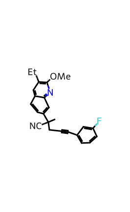 CCc1cc2ccc(C(C)(C#N)CC#Cc3cccc(F)c3)cc2nc1OC